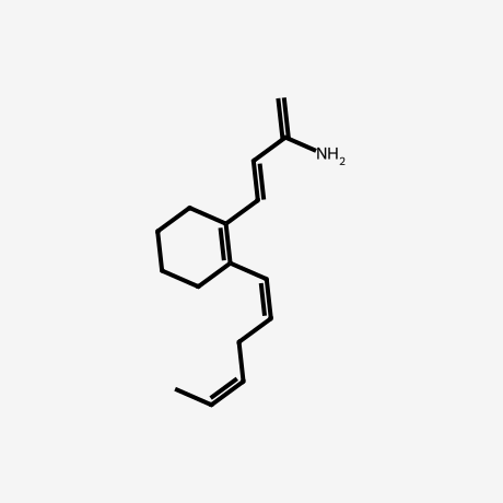 C=C(N)/C=C/C1=C(/C=C\C/C=C\C)CCCC1